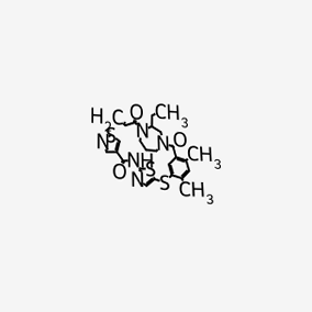 C=CC(=O)N1CCCN(C(=O)c2cc(Sc3cnc(NC(=O)c4cnsc4)s3)c(C)cc2C)CC1CC